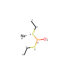 CCSP([O-])SCC.[Na+]